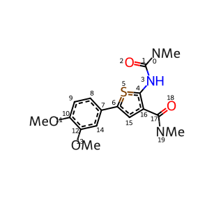 CNC(=O)Nc1sc(-c2ccc(OC)c(OC)c2)cc1C(=O)NC